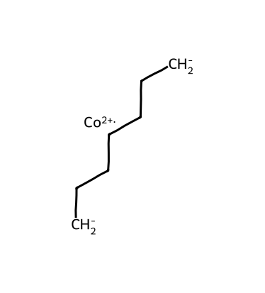 [CH2-]CCCCC[CH2-].[Co+2]